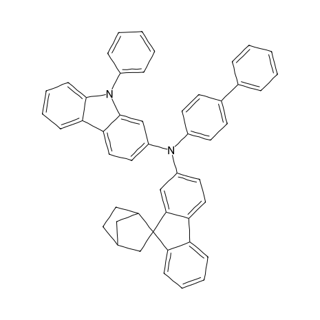 c1ccc(-c2ccc(N(c3ccc4c(c3)C3(CC5CCC3C5)c3ccccc3-4)c3ccc4c5ccccc5n(-c5ccccc5)c4c3)cc2)cc1